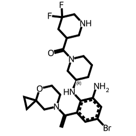 C=C(c1cc(Br)cc(N)c1N[C@@H]1CCCN(C(=O)C2CNCC(F)(F)C2)C1)N1CCOC2(CC2)C1